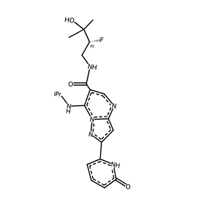 CC(C)Nc1c(C(=O)NC[C@@H](F)C(C)(C)O)cnc2cc(-c3cccc(=O)[nH]3)nn12